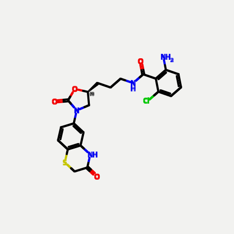 Nc1cccc(Cl)c1C(=O)NCCC[C@H]1CN(c2ccc3c(c2)NC(=O)CS3)C(=O)O1